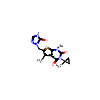 CCCCn1c(=O)n(C2(C)CC2)c(=O)c2c(C)c(Cn3nc[nH]c3=O)sc21